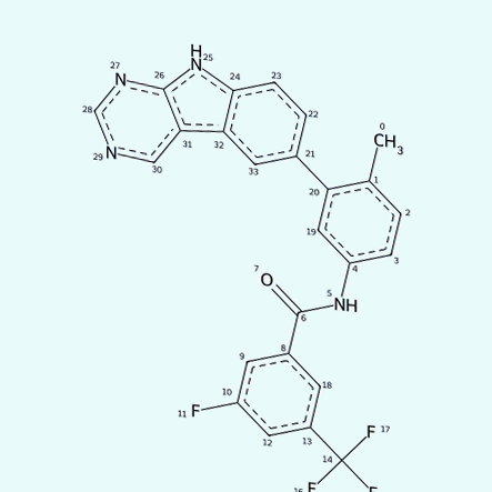 Cc1ccc(NC(=O)c2cc(F)cc(C(F)(F)F)c2)cc1-c1ccc2[nH]c3ncncc3c2c1